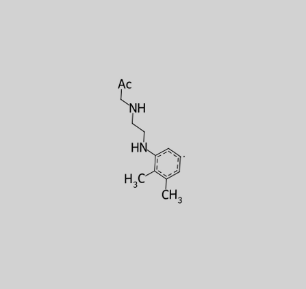 CC(=O)CNCCNc1c[c]cc(C)c1C